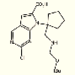 CC(C)(C)OCNCC1(n2c(C(=O)O)cc3cnc(Cl)nc32)CCCC1